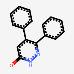 O=c1cc(-c2ccccc2)c(-c2ccccc2)n[nH]1